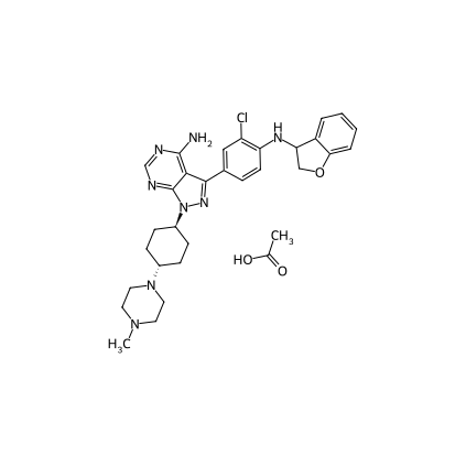 CC(=O)O.CN1CCN([C@H]2CC[C@H](n3nc(-c4ccc(NC5COc6ccccc65)c(Cl)c4)c4c(N)ncnc43)CC2)CC1